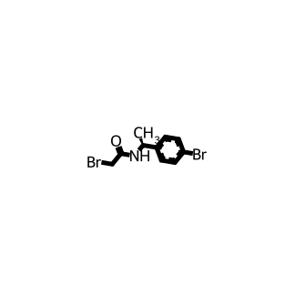 C[C@H](NC(=O)CBr)c1ccc(Br)cc1